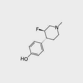 CN1CC[C@H](c2ccc(O)cc2)[C@@H](F)C1